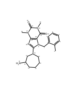 Cc1ccccc1Cn1c(N2CCCCC(N)C2)nc2c1c(=O)n(C)c(=O)n2C